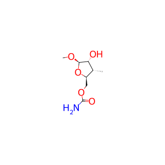 CO[C@@H]1O[C@H](COC(N)=O)[C@@H](C)[C@H]1O